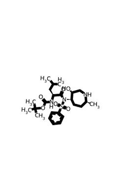 CC(C)C[C@H](NC(=O)OC(C)(C)C)C(=O)N([C@H]1CC[C@@H](C)NC[C@@H]1O)S(=O)(=O)c1ccccc1